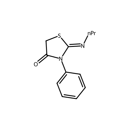 CCCN=C1SCC(=O)N1c1ccccc1